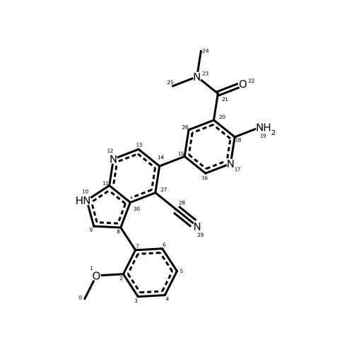 COc1ccccc1-c1c[nH]c2ncc(-c3cnc(N)c(C(=O)N(C)C)c3)c(C#N)c12